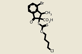 CC1c2c(Br)cccc2C(=O)C1(SC(=S)OCCCCCl)C(=O)O